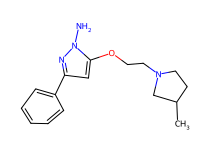 CC1CCN(CCOc2cc(-c3ccccc3)nn2N)C1